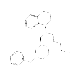 NCCCCN(C[C@@H]1CN(Cc2ccccc2)CCN1)C1CCCc2cccnc21